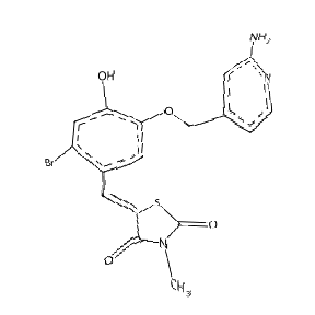 CN1C(=O)S/C(=C\c2cc(OCc3ccnc(N)c3)c(O)cc2Br)C1=O